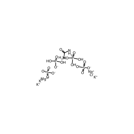 NC(N)=O.O=P(O)(O)O.O=P([O-])(O)O.O=S(=O)([O-])[O-].O=S(=O)([O-])[O-].[Cl-].[K+].[K+].[K+].[Mg+2].[Na+]